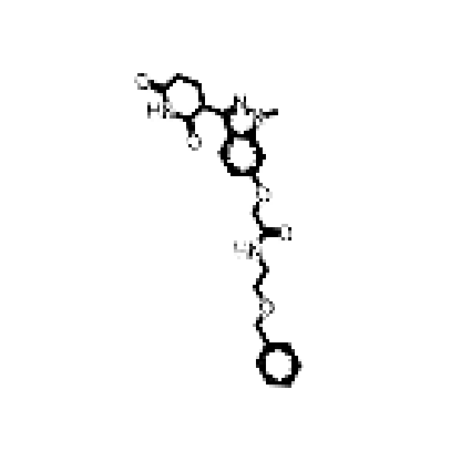 Cn1nc(C2CCC(=O)NC2=O)c2ccc(OCC(=O)NCCOCc3ccccc3)cc21